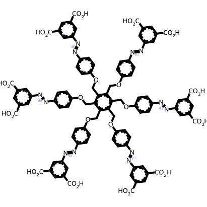 O=C(O)c1cc(/N=N/c2ccc(OCc3c(COc4ccc(/N=N/c5cc(C(=O)O)cc(C(=O)O)c5)cc4)c(COc4ccc(/N=N/c5cc(C(=O)O)cc(C(=O)O)c5)cc4)c(COc4ccc(/N=N/c5cc(C(=O)O)cc(C(=O)O)c5)cc4)c(COc4ccc(/N=N/c5cc(C(=O)O)cc(C(=O)O)c5)cc4)c3COc3ccc(/N=N/c4cc(C(=O)O)cc(C(=O)O)c4)cc3)cc2)cc(C(=O)O)c1